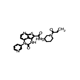 C=CC(=O)N1CCC[C@@H](NC(=O)c2sc3nccc4c3c2NC(=O)N4c2cccnc2)C1